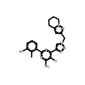 Cc1c(C#N)cccc1-c1nc(N)c(Cl)c(-c2cn(Cc3cc4n(n3)CCCC4)nn2)n1